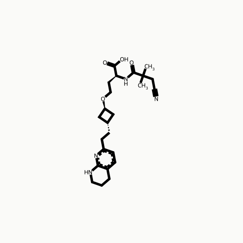 CC(C)(CC#N)C(=O)N[C@@H](CCO[C@H]1C[C@H](CCc2ccc3c(n2)NCCC3)C1)C(=O)O